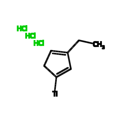 CCC1=CC[C]([Ti])=C1.Cl.Cl.Cl